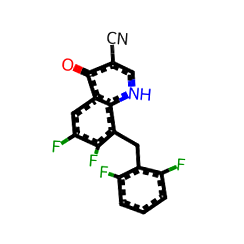 N#Cc1c[nH]c2c(Cc3c(F)cccc3F)c(F)c(F)cc2c1=O